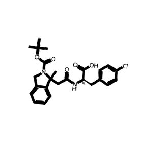 CC(C)(C)OC(=O)N1Cc2ccccc2C1(C)CC(=O)N[C@H](Cc1ccc(Cl)cc1)C(=O)O